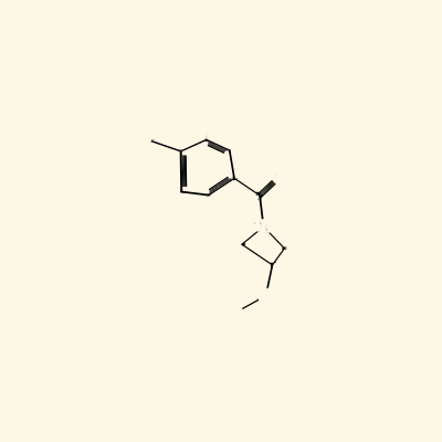 COC1CN(C(=O)c2ccc(C)cc2)C1